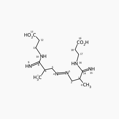 CC(CN=NCC(C)C(=N)NCCC(=O)O)C(=N)NCCC(=O)O